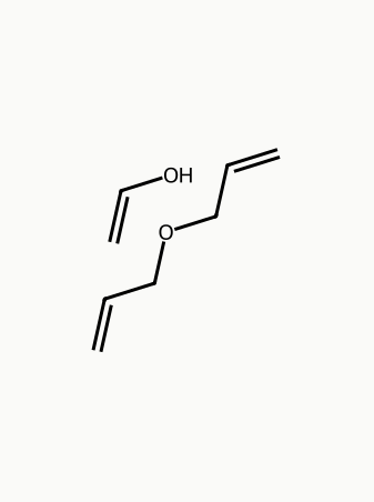 C=CCOCC=C.C=CO